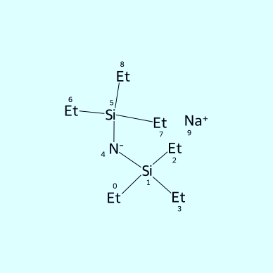 CC[Si](CC)(CC)[N-][Si](CC)(CC)CC.[Na+]